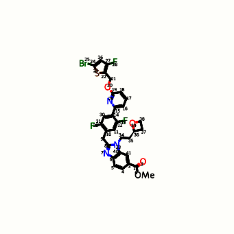 COC(=O)c1ccc2nc(Cc3cc(F)c(-c4cccc(OCc5sc(Br)cc5F)n4)cc3F)n(CC[C@@H]3CCO3)c2c1